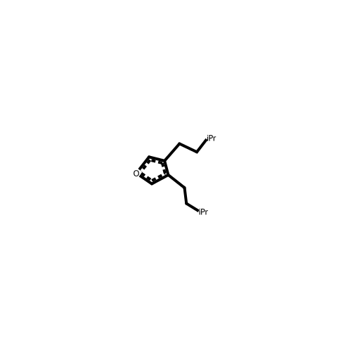 CC(C)CCc1cocc1CCC(C)C